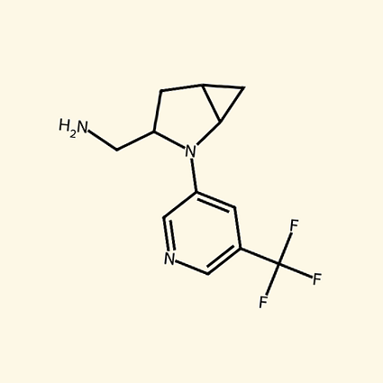 NCC1CC2CC2N1c1cncc(C(F)(F)F)c1